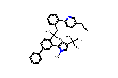 CCc1ccc(-c2ccccc2CC(C)(C)c2ccc(-c3ccccc3)cc2-c2cc(C(C)(C)C)cn2C)nc1